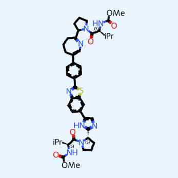 COC(=O)N[C@H](C(=O)N1CCCC1C1=NC=C(c2ccc(-c3nc4ccc(-c5cnc([C@@H]6CCCN6C(=O)[C@@H](NC(=O)OC)C(C)C)[nH]5)cc4s3)cc2)CCC1)C(C)C